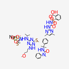 CN(C(=O)NC(C)(C)c1ccccc1)c1ccccc1.CN=C=S.COCCCNc1nc(NC(C)C)nc(SC)n1.Cc1cc(C)nc(NC(=O)NS(=O)(=O)c2ccccc2C(=O)O)n1.[Na+].[O-][Cl+2]([O-])[O-]